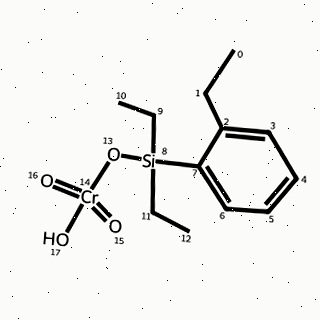 CCc1ccccc1[Si](CC)(CC)[O][Cr](=[O])(=[O])[OH]